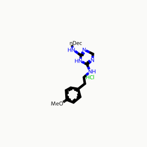 CCCCCCCCCCNC1=NCN=C(NCCc2ccc(OC)cc2)N1.Cl